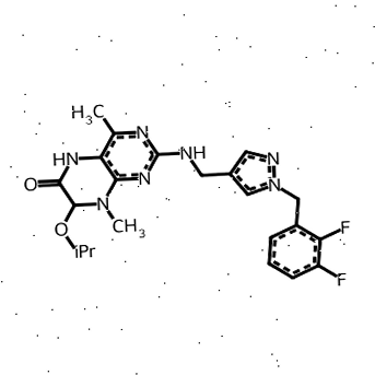 Cc1nc(NCc2cnn(Cc3cccc(F)c3F)c2)nc2c1NC(=O)C(OC(C)C)N2C